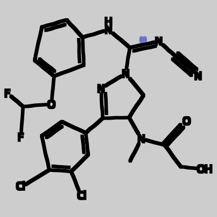 CN(C(=O)CO)C1CN(/C(=N\C#N)Nc2cccc(OC(F)F)c2)N=C1c1ccc(Cl)c(Cl)c1